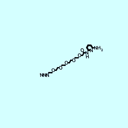 [N-]=[N+]=NCCOCCOCCOCCOCCOCC(=O)Nc1cccc(N)n1